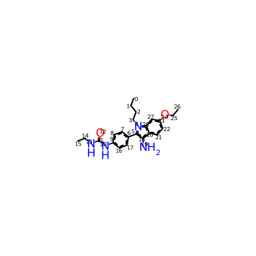 CCCCn1c(-c2ccc(NC(=O)NCC)cc2)c(N)c2ccc(OCC)cc21